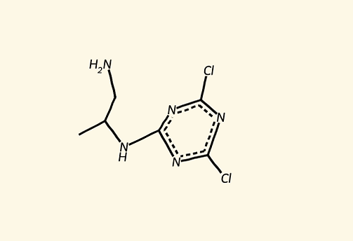 CC(CN)Nc1nc(Cl)nc(Cl)n1